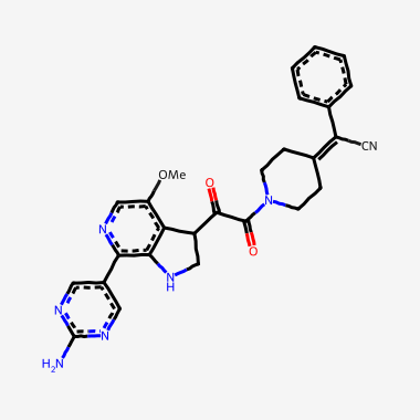 COc1cnc(-c2cnc(N)nc2)c2c1C(C(=O)C(=O)N1CCC(=C(C#N)c3ccccc3)CC1)CN2